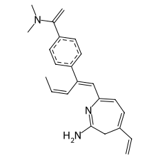 C=CC1=CC=C(/C=C(\C=C/C)c2ccc(C(=C)N(C)C)cc2)N=C(N)C1